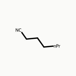 [CH2]CCCCCC#N